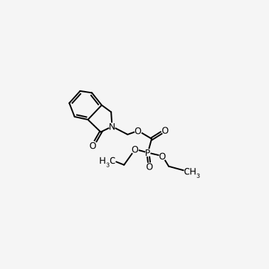 CCOP(=O)(OCC)C(=O)OCN1Cc2ccccc2C1=O